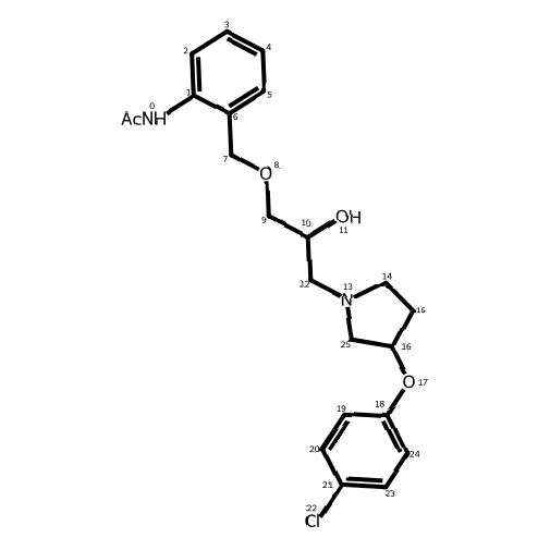 CC(=O)Nc1ccccc1COCC(O)CN1CCC(Oc2ccc(Cl)cc2)C1